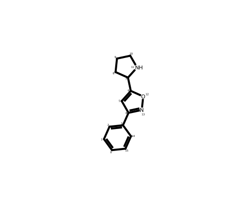 c1ccc(-c2cc(C3CCCN3)on2)cc1